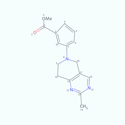 COC(=O)c1cccc(N2CCc3nc(C)ncc3C2)c1